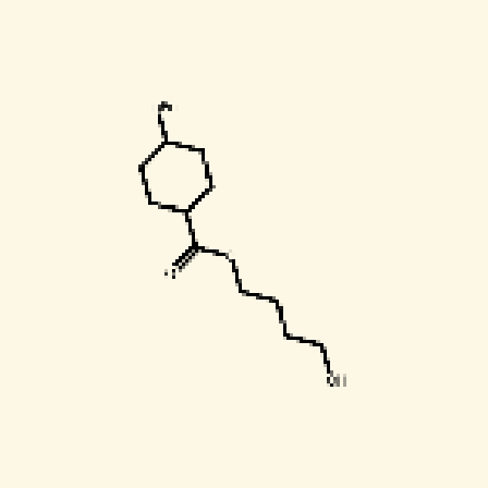 CCCCC1CCC(C(=O)OCCCCO)CC1